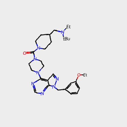 CCOc1cccc(Cn2ncc3c(N4CCN(C(=O)N5CCC(CN(CC)C(C)(C)C)CC5)CC4)ncnc32)c1